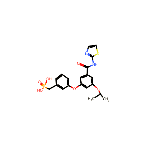 CC(C)Oc1cc(Oc2cccc(CP(=O)(O)O)c2)cc(C(=O)Nc2nccs2)c1